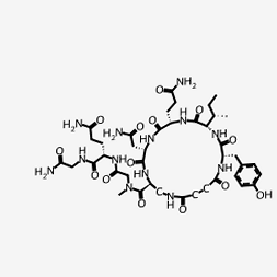 CC[C@H](C)[C@@H]1NC(=O)[C@H](Cc2ccc(O)cc2)NC(=O)CCC(=O)NC[C@@H](C(=O)N(C)CC(=O)N[C@@H](CCC(N)=O)C(=O)NCC(N)=O)NC(=O)[C@H](CC(N)=O)NC(=O)[C@H](CCC(N)=O)NC1=O